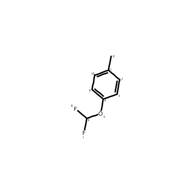 Cc1ccc(O[C](F)F)cc1